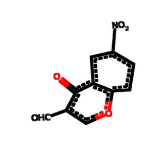 O=Cc1coc2ccc([N+](=O)[O-])cc2c1=O